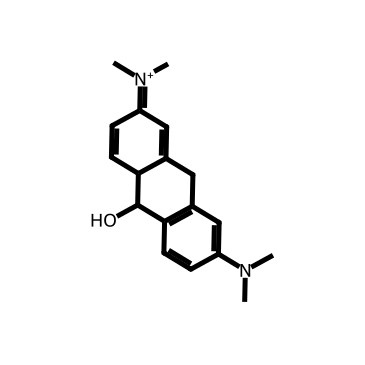 CN(C)c1ccc2c(c1)CC1=CC(=[N+](C)C)C=CC1C2O